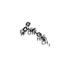 CC(=O)NC(=S)N1CCC(c2nc(C(=O)Nc3cc(C(F)(F)F)ccc3N3CCCC3)cs2)CC1